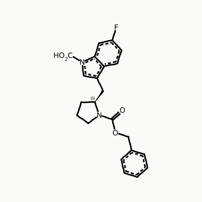 O=C(OCc1ccccc1)N1CCC[C@H]1Cc1cn(C(=O)O)c2cc(F)ccc12